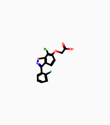 O=C(O)COc1ccc2c(-c3ccccc3F)nsc2c1Br